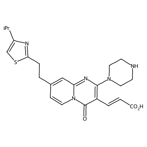 CC(C)c1csc(CCc2ccn3c(=O)c(C=CC(=O)O)c(N4CCNCC4)nc3c2)n1